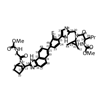 COC(=O)NCC(=O)N1C2CCC(C2)C1c1nc2ccc3cc(-c4ccc(-c5cnc(CN(C(=O)C(NC(=O)OC)C(C)C)C6C(C)C6C)[nH]5)c(F)c4)ccc3c2[nH]1